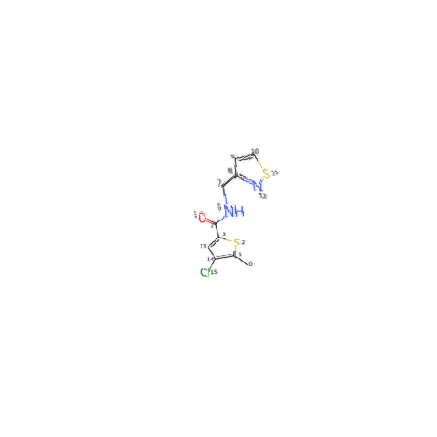 Cc1sc(C(=O)NCc2ccsn2)cc1Cl